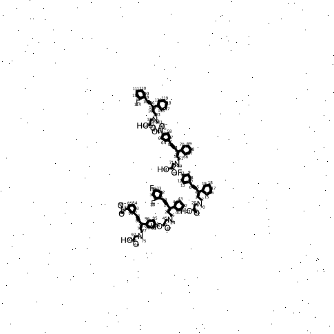 CN(CC=C(C#Cc1ccc(F)cc1)c1ccccc1)CC(=O)O.CN(CC=C(C#Cc1ccc(F)cc1F)c1ccccc1)CC(=O)O.CN(CC=C(C#Cc1ccc([N+](=O)[O-])cc1)c1ccccc1)CC(=O)O.CN(CC=C(C#Cc1cccc([N+](=O)[O-])c1)c1ccccc1)CC(=O)O.CN(CC=C(C#Cc1ccccc1F)c1ccccc1)CC(=O)O